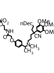 CCCCCCCCCCCCC(C#N)(CCCN(C)C(C)c1ccc(OCC(=O)NCCO[N+](=O)[O-])cc1)c1cc(OC)c(OC)c(OC)c1